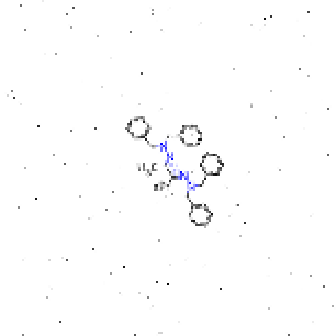 CCCC(=N\N(Cc1ccccc1)Cc1ccccc1)/C(C)=N/N(Cc1ccccc1)Cc1ccccc1